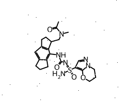 CC(=O)N(C)CC1CCc2cc3c(c(NC(=O)N=S(N)(=O)c4cnn5c4OCCC5)c21)CCC3